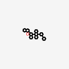 c1ccc(-c2cccc(-c3c4ccccc4c(-c4cc5c6ccc7ccccc7c6oc5c5ccccc45)c4ccccc34)c2)cc1